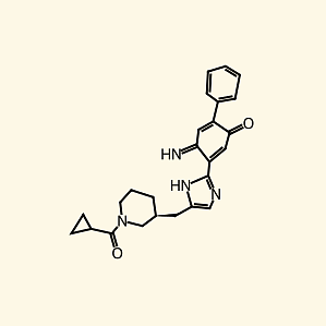 N=C1C=C(c2ccccc2)C(=O)C=C1c1ncc(C[C@@H]2CCCN(C(=O)C3CC3)C2)[nH]1